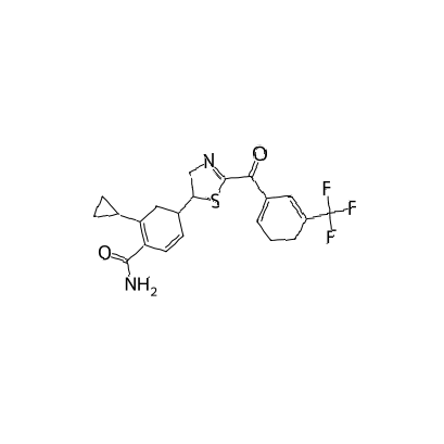 NC(=O)C1=C(C2CC2)CC(C2CN=C(C(=O)C3=CCCC(C(F)(F)F)=C3)S2)C=C1